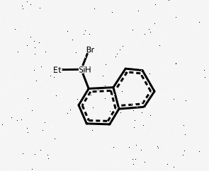 CC[SiH](Br)c1cccc2ccccc12